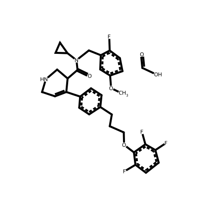 COc1ccc(F)c(CN(C(=O)C2CNCC=C2c2ccc(CCCOc3c(F)ccc(F)c3F)cc2)C2CC2)c1.O=CO